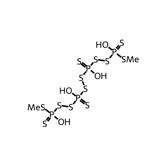 CSP(O)(=S)SSP(O)(=S)SSP(O)(=S)SSP(O)(=S)SC